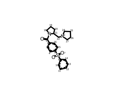 O=C(c1ccc(S(=O)(=O)c2ccccc2)cc1)N1CCCC1CN1CCCC1